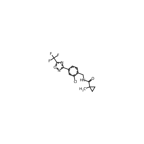 CC1(C(=O)NCc2ccc(-c3noc(C(F)(F)F)n3)cc2Cl)CC1